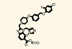 CCn1cncc1Cn1c(CN2CCC(Oc3cccc(COc4ccc(Cl)cc4F)c3)CC2)nc2ccc(C(=O)OC=O)cc21